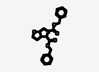 O=C(OCc1ccccc1)C1C2CCOC2CN1C(=O)OCc1ccccc1